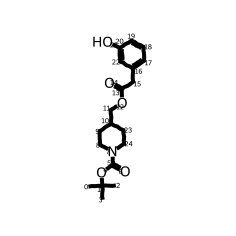 CC(C)(C)OC(=O)N1CCC(COC(=O)Cc2cccc(O)c2)CC1